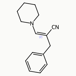 N#C/C(=C\N1CCCCC1)Cc1ccccc1